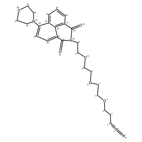 [N-]=[N+]=NCCOCCOCCOCCN1C(=O)c2cccc3c(N4CCOCC4)ccc(c23)C1=O